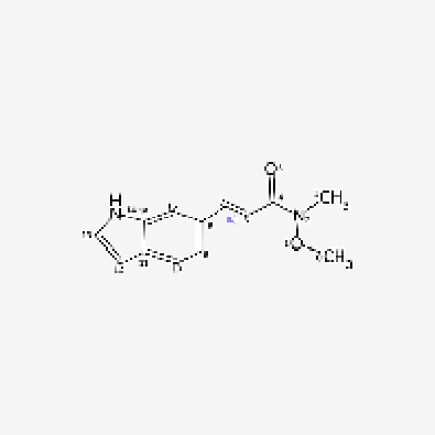 CON(C)C(=O)/C=C/c1ccc2cc[nH]c2c1